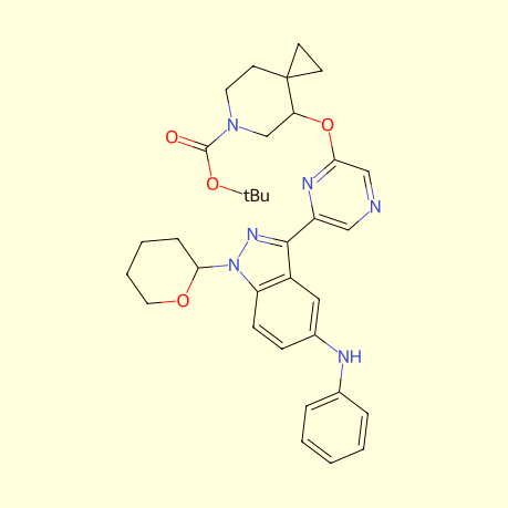 CC(C)(C)OC(=O)N1CCC2(CC2)C(Oc2cncc(-c3nn(C4CCCCO4)c4ccc(Nc5ccccc5)cc34)n2)C1